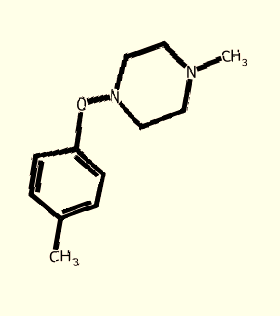 Cc1ccc(ON2CCN(C)CC2)cc1